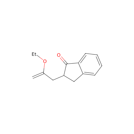 C=C(CC1Cc2ccccc2C1=O)OCC